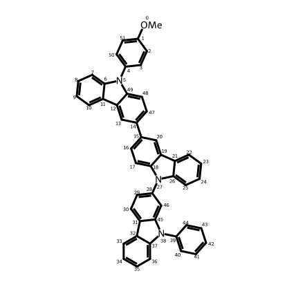 COc1ccc(-n2c3ccccc3c3cc(-c4ccc5c(c4)c4ccccc4n5-c4ccc5c6ccccc6n(-c6ccccc6)c5c4)ccc32)cc1